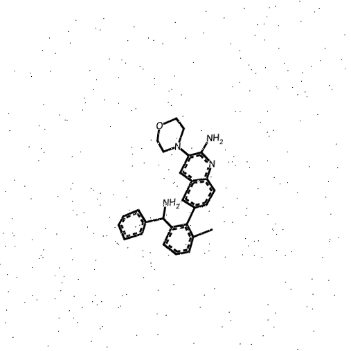 Cc1cccc(C(N)c2ccccc2)c1-c1ccc2nc(N)c(N3CCOCC3)cc2c1